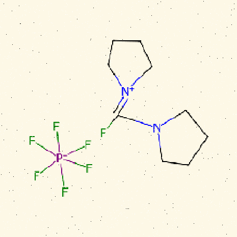 FC(N1CCCC1)=[N+]1CCCC1.F[P-](F)(F)(F)(F)F